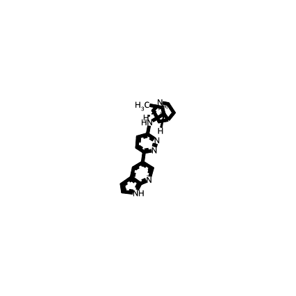 C[C@@H]1[C@@H](Nc2ccc(-c3cnc4[nH]ccc4c3)nn2)C2CCN1CC2